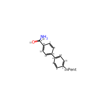 CCCCCc1ccc(-c2ccc(C(N)=O)cc2)cc1